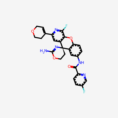 NC1=N[C@@]2(CCO1)c1cc(NC(=O)c3ccc(F)cn3)ccc1Oc1c2cc(C2=CCOCC2)nc1F